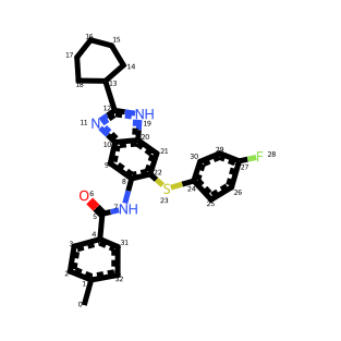 Cc1ccc(C(=O)Nc2cc3nc(C4CCCCC4)[nH]c3cc2Sc2ccc(F)cc2)cc1